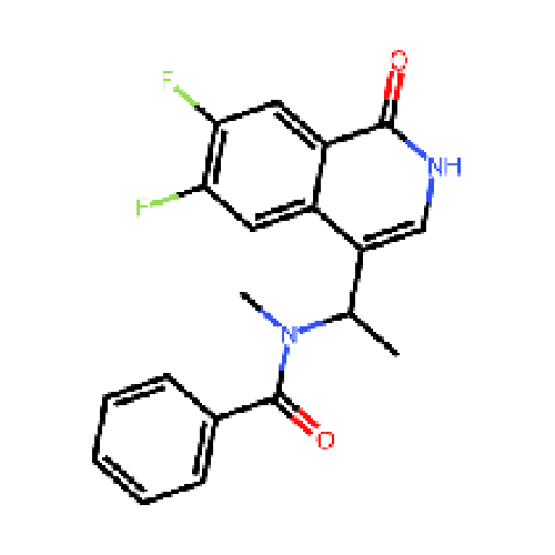 CC(c1c[nH]c(=O)c2cc(F)c(F)cc12)N(C)C(=O)c1ccccc1